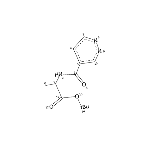 CC(NC(=O)c1ccnnc1)C(=O)OC(C)(C)C